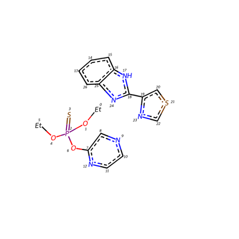 CCOP(=S)(OCC)Oc1cnccn1.c1ccc2[nH]c(-c3cscn3)nc2c1